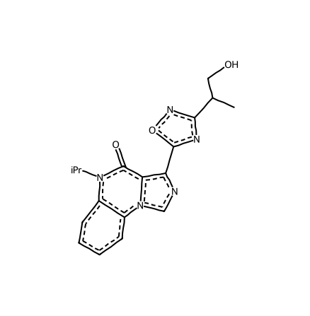 CC(CO)c1noc(-c2ncn3c2c(=O)n(C(C)C)c2ccccc23)n1